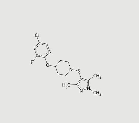 Cc1nn(C)c(C)c1SN1CCC(Oc2ncc(Cl)cc2F)CC1